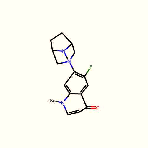 CN1C2CCC1CN(c1cc3c(cc1F)c(=O)ccn3C(C)(C)C)C2